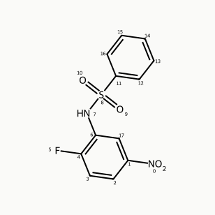 O=[N+]([O-])c1ccc(F)c(NS(=O)(=O)c2ccccc2)c1